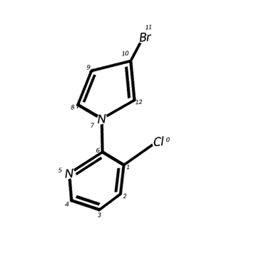 Clc1cccnc1-n1[c]cc(Br)c1